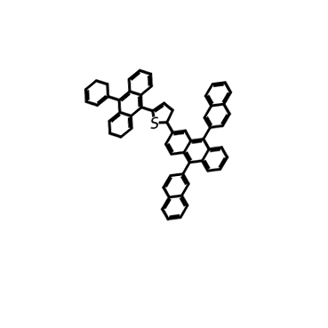 C1=CCCC(c2c3c(c(C4=CCC(c5ccc6c(-c7ccc8ccccc8c7)c7ccccc7c(-c7ccc8ccccc8c7)c6c5)S4)c4ccccc24)=CCCC=3)=C1